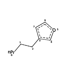 CCCCCc1[c]occ1